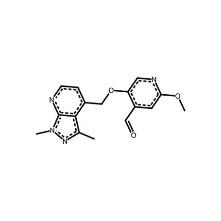 COc1cc(C=O)c(OCc2ccnc3c2c(C)nn3C)cn1